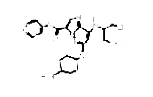 CCC(CO)Nc1cc(NC2CCC(N)CC2)nn2c(C(=O)Nc3ccncc3)cnc12